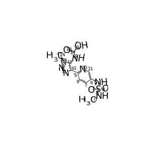 CNS(=O)(=O)Nc1ccc(-c2nnn(C)c2NC(=O)O)nc1